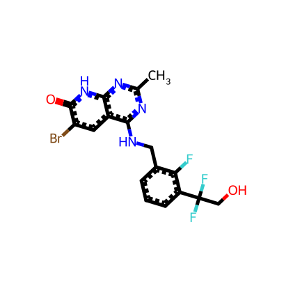 Cc1nc(NCc2cccc(C(F)(F)CO)c2F)c2cc(Br)c(=O)[nH]c2n1